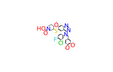 COc1ccc(CN(c2ccc(F)c(Cl)c2)c2ncnc3cc(OC)c(S[C@@H]4CCCN(C(=O)O)C4)cc23)cc1OC